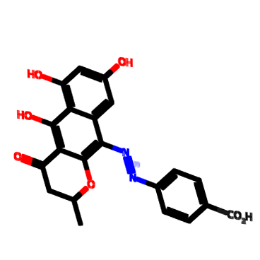 CC1CC(=O)c2c(c(/N=N/c3ccc(C(=O)O)cc3)c3cc(O)cc(O)c3c2O)O1